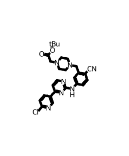 CC(C)(C)OC(=O)CN1CCN(Cc2cc(Nc3nccc(-c4ccc(Cl)nc4)n3)ccc2C#N)CC1